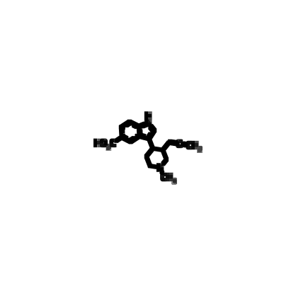 C=C=CC1CN(C)CCC1c1c[nH]c2ccc(C(=O)O)cc12